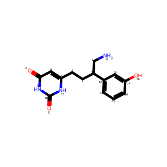 NCC(CCc1cc(=O)[nH]c(=O)[nH]1)c1cccc(O)c1